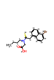 CCCCN(CC(=O)O)C(=S)Cc1cccc2c(Br)cccc12